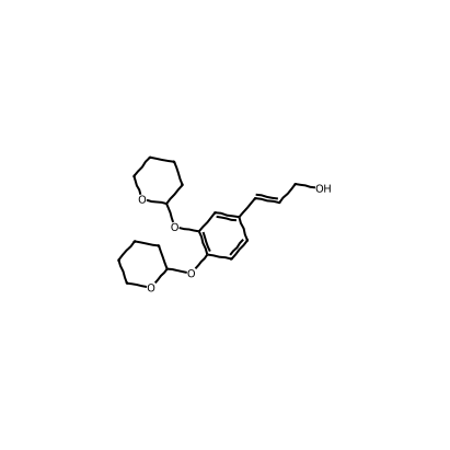 OCC=Cc1ccc(OC2CCCCO2)c(OC2CCCCO2)c1